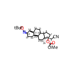 COC(=O)O[C@@]1(CC#N)CCC2C3CCC4=CC(=NOC(C)(C)C)CCC4=C3CC[C@@]21C